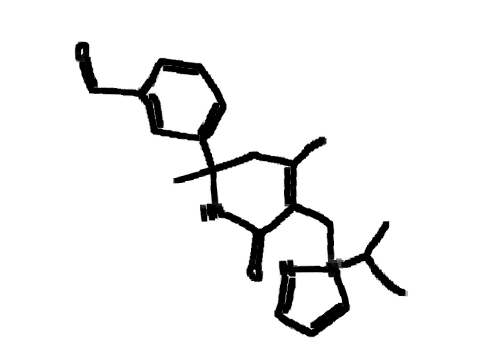 CC1=C(C[N+]2(C(C)C)C=CC=N2)C(=O)NC(C)(c2cccc(C=O)c2)C1